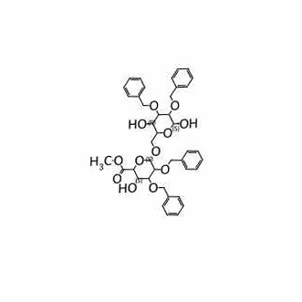 COC(=O)C1O[C@H](OCC2O[C@H](O)C(OCc3ccccc3)C(OCc3ccccc3)[C@@H]2O)C(OCc2ccccc2)C(OCc2ccccc2)[C@@H]1O